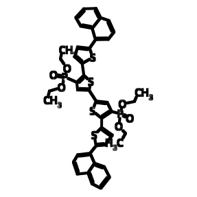 CCOP(=O)(OCC)c1cc(-c2cc(P(=O)(OCC)OCC)c(-c3ccc(-c4cccc5ccccc45)s3)s2)sc1-c1ccc(-c2cccc3ccccc23)s1